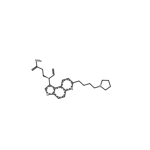 C=C[C@H](CCC(=C)NC)c1coc2ccc3nc(CCCCN4CCCC4)ccc3c12